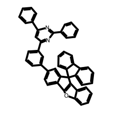 c1ccc(-c2cc(-c3cccc(-c4ccc5c(c4)C4(c6ccccc6-c6ccccc64)c4c-5oc5ccccc45)c3)nc(-c3ccccc3)n2)cc1